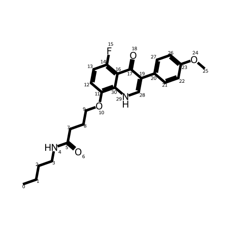 CCCCNC(=O)CCCOc1ccc(F)c2c(=O)c(-c3ccc(OC)cc3)c[nH]c12